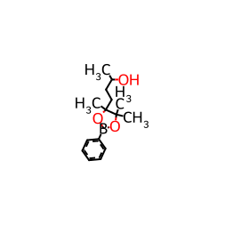 CC(O)CCC1(C)OB(c2ccccc2)OC1(C)C